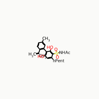 C=C(C)c1ccc(C)cc1-c1c(O)cc(CCCCC)c(S(=O)(=O)NC(C)=O)c1O